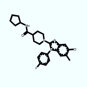 Cc1cc2c(cc1Cl)nc(N1CCC(C(=O)NC3CCCC3)CC1)n2-c1ccc(F)cc1